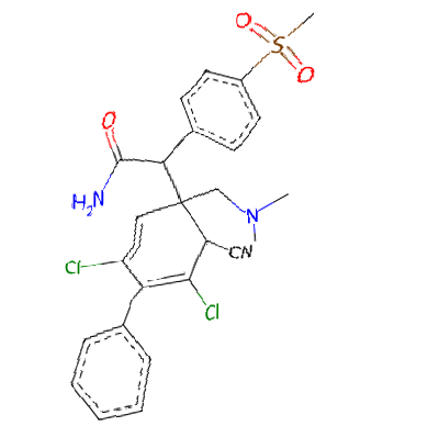 CN(C)CC1(C(C(N)=O)c2ccc(S(C)(=O)=O)cc2)C=C(Cl)C(c2ccccc2)=C(Cl)C1C#N